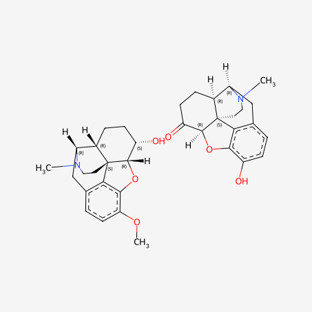 CN1CC[C@]23c4c5ccc(O)c4O[C@H]2C(=O)CC[C@H]3[C@H]1C5.COc1ccc2c3c1O[C@H]1[C@@H](O)CC[C@H]4[C@@H](C2)N(C)CC[C@@]341